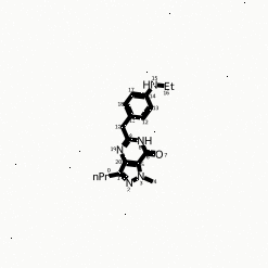 CCCc1nn(C)c2c(=O)[nH]c(Cc3ccc(NCC)cc3)nc12